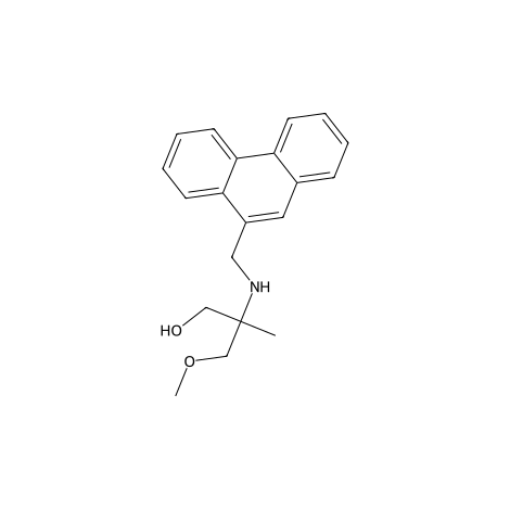 COCC(C)(CO)NCc1cc2ccccc2c2ccccc12